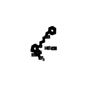 Cl.Cl.FC(F)(F)c1nc2c(OCCCNCc3ccccc3)cccc2[nH]1